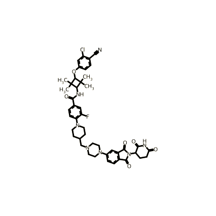 CC1(C)C(NC(=O)c2ccc(N3CCC(CN4CCN(c5ccc6c(c5)C(=O)N(C5CCC(=O)NC5=O)C6=O)CC4)CC3)c(F)c2)C(C)(C)C1Oc1ccc(C#N)c(Cl)c1